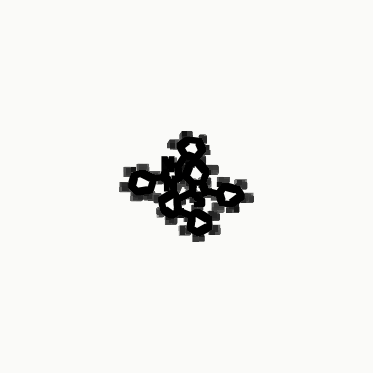 c1ccc(-c2cn(-c3cccc(-c4ccccc4)c3-c3sc(-c4ccccc4)c4ccccc34)c(-c3ccccc3)n2)cc1